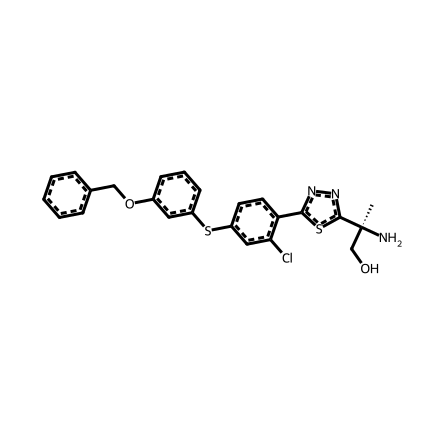 C[C@](N)(CO)c1nnc(-c2ccc(Sc3cccc(OCc4ccccc4)c3)cc2Cl)s1